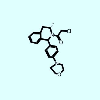 C[C@H]1Cc2ccccc2C(c2ccc(N3CCOCC3)cc2)N1C(=O)CCl